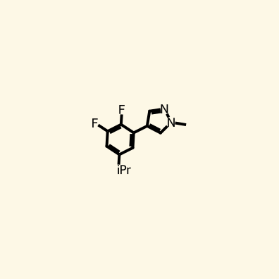 CC(C)c1cc(F)c(F)c(-c2cnn(C)c2)c1